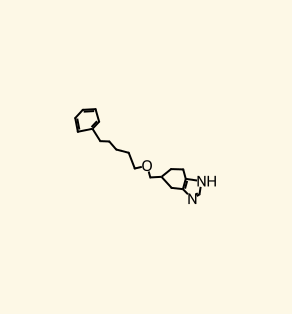 c1ccc(CCCCCOCC2CCc3[nH]cnc3C2)cc1